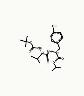 CC(C)OC(=O)[C@H](Cc1ccc(O)cc1)NC(=O)[C@@H](NC(=O)OC(C)(C)C)C(C)C